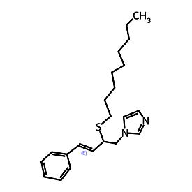 CCCCCCCCCSC(/C=C/c1ccccc1)Cn1ccnc1